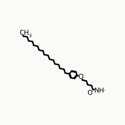 CCCCCCCCCCCCCCCCCCc1ccc(OCCCCC([NH])=O)cc1